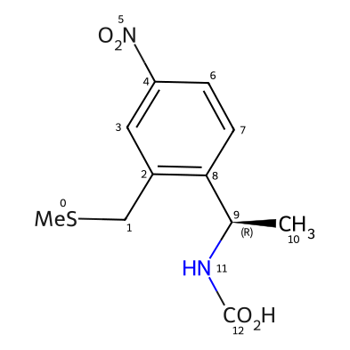 CSCc1cc([N+](=O)[O-])ccc1[C@@H](C)NC(=O)O